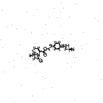 N#CCN[n+]1ccc(SCOC(=O)C2=CCS[C@H]3CC(=O)N23)cc1